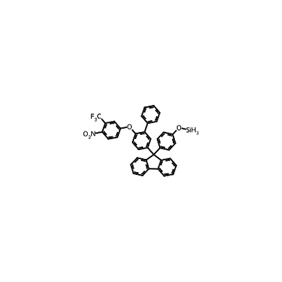 O=[N+]([O-])c1ccc(Oc2ccc(C3(c4ccc(O[SiH3])cc4)c4ccccc4-c4ccccc43)cc2-c2ccccc2)cc1C(F)(F)F